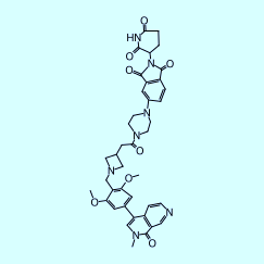 COc1cc(-c2cn(C)c(=O)c3cnccc23)cc(OC)c1CN1CC(CC(=O)N2CCN(c3ccc4c(c3)C(=O)N(C3CCC(=O)NC3=O)C4=O)CC2)C1